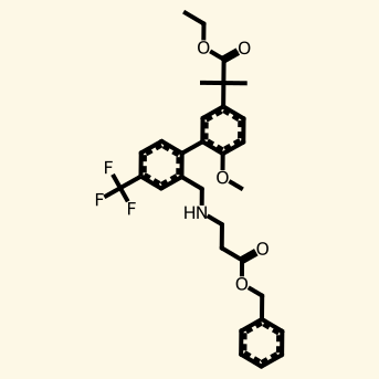 CCOC(=O)C(C)(C)c1ccc(OC)c(-c2ccc(C(F)(F)F)cc2CNCCC(=O)OCc2ccccc2)c1